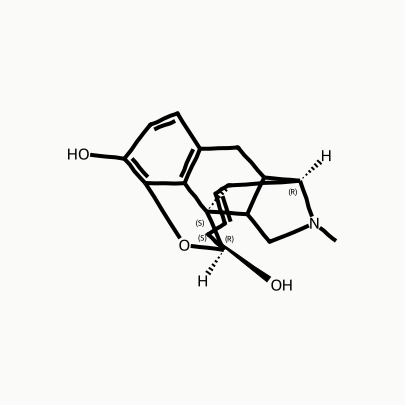 CN1CC2C3Cc4ccc(O)c5c4[C@@]24C(C=C[C@H](O)[C@@H]4O5)[C@@H]31